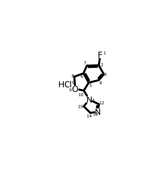 Cl.Fc1ccc2c(c1)COC2N1C=NCC1